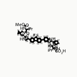 COC(=O)NC(C(=O)N1CC2(CC2)C[C@H]1c1nc(-c2ccc3c(c2)C(F)(F)c2cc(-c4ccc5nc([C@@H]6[C@H]7CC[C@H](C7)N6C(=O)[C@@H](NC(=O)O)C(C)C)[nH]c5c4)ccc2-3)c[nH]1)C(C)C